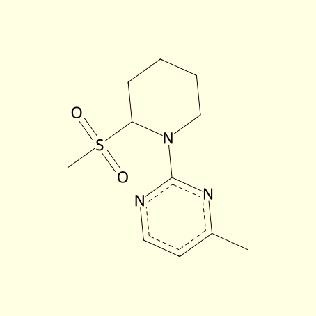 Cc1ccnc(N2CCCCC2S(C)(=O)=O)n1